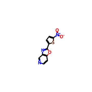 O=[N+]([O-])c1ccc(-c2nc3cnccc3o2)s1